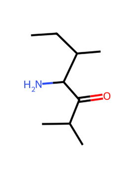 CCC(C)C(N)C(=O)C(C)C